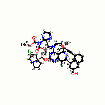 CC(C)[Si](C#Cc1cccc2cc(O)cc(-c3nc4c5c(nc(OC[C@@]67CCCN6C[C@H](F)C7)nc5c3F)N([C@H](C)c3nccnc3N(C(=O)OC(C)(C)C)C(=O)OC(C)(C)C)CCO4)c12)(C(C)C)C(C)C